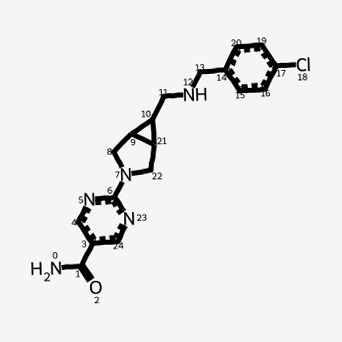 NC(=O)c1cnc(N2CC3C(CNCc4ccc(Cl)cc4)C3C2)nc1